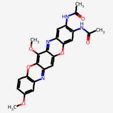 COc1ccc2c(c1)N=c1cc3c(c(OC)c1O2)=Nc1cc(NC(C)=O)c(NC(C)=O)cc1O3